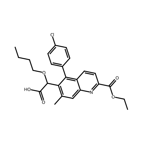 CCCCOC(C(=O)O)c1c(C)cc2nc(C(=O)OCC)ccc2c1-c1ccc(Cl)cc1